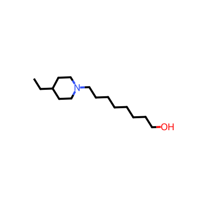 CCC1CCN(CCCCCCCCO)CC1